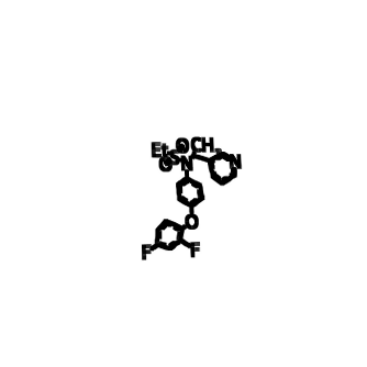 CCS(=O)(=O)N(c1ccc(Oc2ccc(F)cc2F)cc1)C(C)c1cccnc1